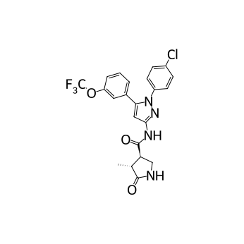 C[C@H]1C(=O)NC[C@@H]1C(=O)Nc1cc(-c2cccc(OC(F)(F)F)c2)n(-c2ccc(Cl)cc2)n1